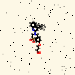 CC(C)(C)c1cc(N2CCS(=O)(=O)c3cc(OCCCO)ccc3C2)nc2ccccc12